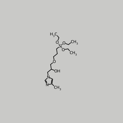 CCO[Si](CCCOCC(O)Cn1cnc(C)c1)(OCC)OCC